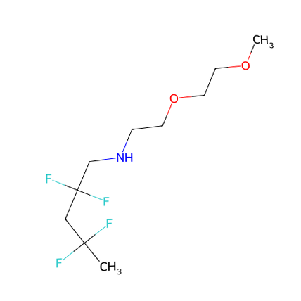 COCCOCCNCC(F)(F)CC(C)(F)F